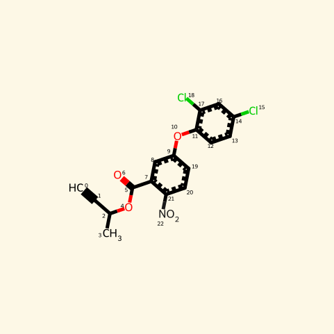 C#CC(C)OC(=O)c1cc(Oc2ccc(Cl)cc2Cl)ccc1[N+](=O)[O-]